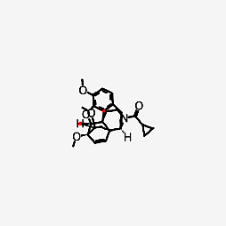 COc1ccc2c3c1O[C@H]1[C@@]4(OC)C=C[C@@]5(C[C@@]4(C)OC)[C@@H](C2)N(C(=O)C2CC2)CC[C@]315